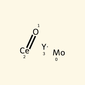 [Mo].[O]=[Ce].[Y]